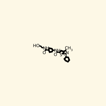 Cc1nn(-c2ccccc2)c2sc(C(=O)Nc3ccc(C(=O)NCCO)cc3)cc12